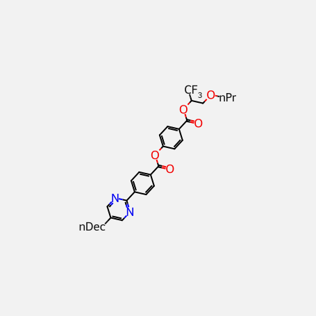 CCCCCCCCCCc1cnc(-c2ccc(C(=O)Oc3ccc(C(=O)OC(COCCC)C(F)(F)F)cc3)cc2)nc1